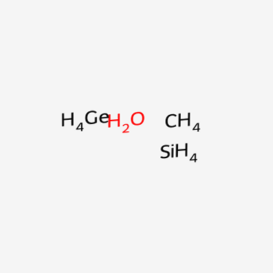 C.O.[GeH4].[SiH4]